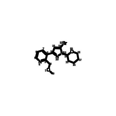 COCc1ncccc1-c1cc(Br)n(C2CCCCO2)n1